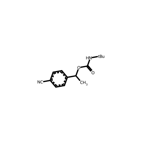 CC(OC(=O)NC(C)(C)C)c1ccc(C#N)cc1